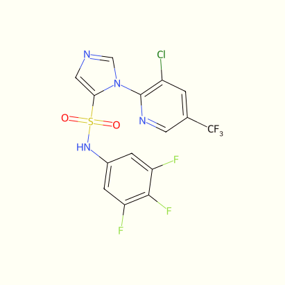 O=S(=O)(Nc1cc(F)c(F)c(F)c1)c1cncn1-c1ncc(C(F)(F)F)cc1Cl